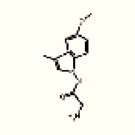 COc1ccc2c(c1)c(C)cn2NC(=O)CN